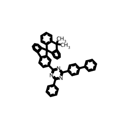 CC1(C)c2ccccc2C2(c3ccccc3-c3ccc(-c4nc(-c5ccccc5)nc(-c5ccc(-c6ccccc6)cc5)n4)cc32)c2ccccc21